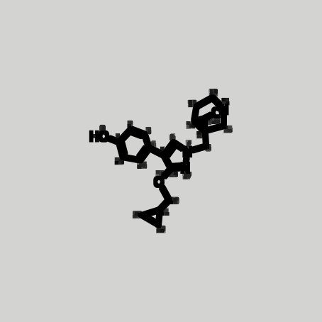 Oc1ccc(-c2cn(CC3CN4CCC3CC4)nc2OCC2CC2)cc1